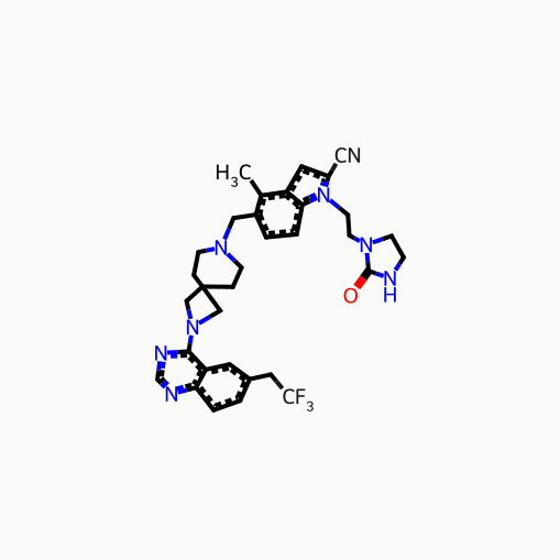 Cc1c(CN2CCC3(CC2)CN(c2ncnc4ccc(CC(F)(F)F)cc24)C3)ccc2c1cc(C#N)n2CCN1CCNC1=O